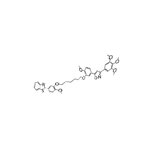 COc1ccc(-c2cc(-c3cc(OC)c(OC)c(OC)c3)no2)cc1OCCCCCCOc1cc(-c2nc3ccccc3s2)ccc1OC